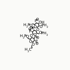 C=CCOC1OC(COP)[C@@H](O[C@@H]2OC(COP)[C@H](O[C@H]3OC(COP)[C@H](P=O)C(O)[C@@H]3OP)C(P=O)[C@@H]2P=O)C(P=O)[C@@H]1P=O